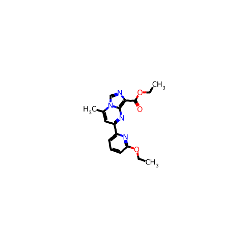 CCOC(=O)c1ncn2c(C)cc(-c3cccc(OCC)n3)nc12